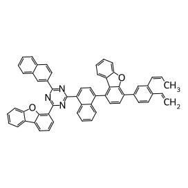 C=Cc1ccc(-c2ccc(-c3ccc(-c4nc(-c5ccc6ccccc6c5)nc(-c5cccc6c5oc5ccccc56)n4)c4ccccc34)c3c2oc2ccccc23)cc1/C=C\C